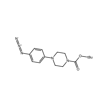 CC(C)(C)OC(=O)N1CCN(c2ccc(N=[N+]=[N-])cc2)CC1